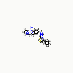 CN(Cc1ccc2[nH]c(CN3CCCC3)cc2c1)Cc1nc(-c2ccccc2)cs1